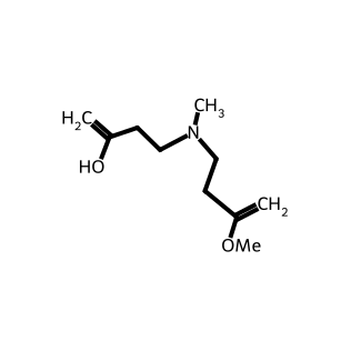 C=C(O)CCN(C)CCC(=C)OC